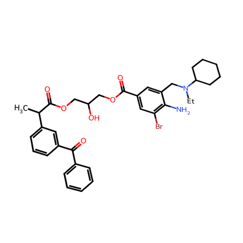 CCN(Cc1cc(C(=O)OCC(O)COC(=O)C(C)c2cccc(C(=O)c3ccccc3)c2)cc(Br)c1N)C1CCCCC1